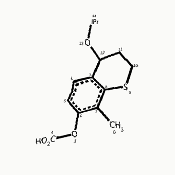 Cc1c(OC(=O)O)ccc2c1SCCC2OC(C)C